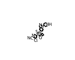 N#Cc1ncc(N2C(=O)C3(CCC3)N(c3ccc4c(cnn4C4CCNCC4)c3)C2=S)cc1Cl